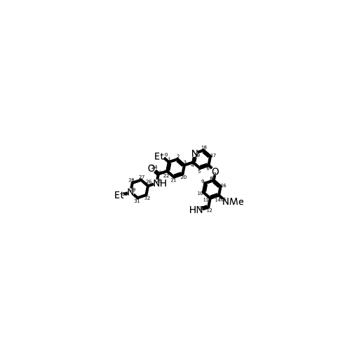 CCc1cc(-c2cc(Oc3ccc(C=N)c(NC)c3)ccn2)ccc1C(=O)NC1CCN(CC)CC1